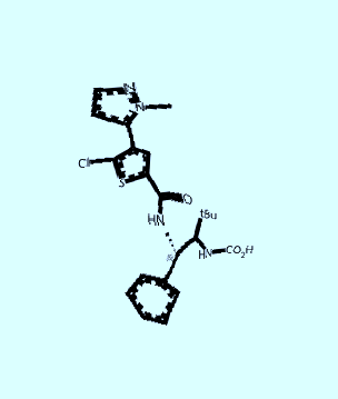 Cn1nccc1-c1cc(C(=O)N[C@@H](c2ccccc2)C(NC(=O)O)C(C)(C)C)sc1Cl